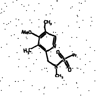 COc1c(C)cnc(CN(C)S(=O)(=O)C(C)C)c1C